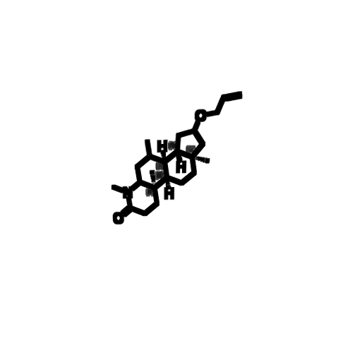 C=CCOC1C[C@H]2[C@@H]3C(C)CC4N(C)C(=O)CC[C@]4(C)[C@@H]3CC[C@]2(C)C1